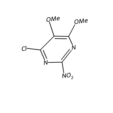 COc1nc([N+](=O)[O-])nc(Cl)c1OC